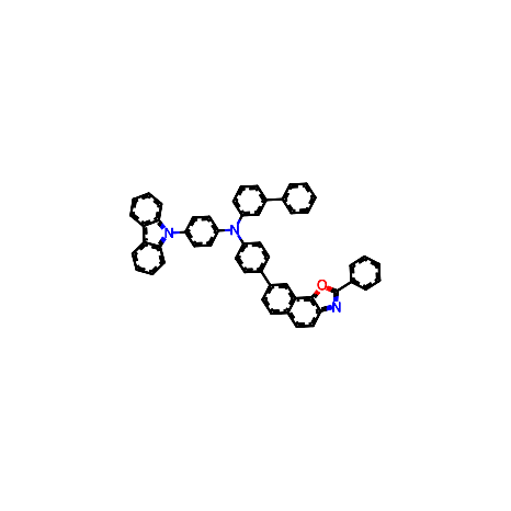 c1ccc(-c2cccc(N(c3ccc(-c4ccc5ccc6nc(-c7ccccc7)oc6c5c4)cc3)c3ccc(-n4c5ccccc5c5ccccc54)cc3)c2)cc1